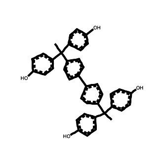 CC(c1ccc(O)cc1)(c1ccc(O)cc1)c1ccc(-c2ccc(C(C)(c3ccc(O)cc3)c3ccc(O)cc3)cc2)cc1